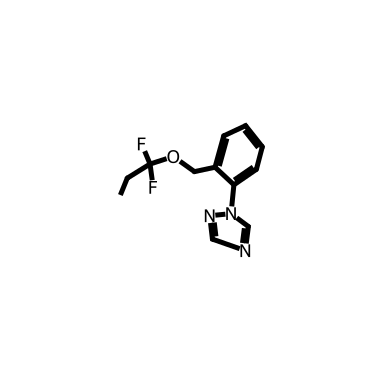 CCC(F)(F)OCc1ccccc1-n1cncn1